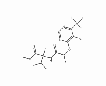 COC(=O)C(C)(NC(=O)C(C)Oc1ncnc(C(F)(F)F)c1Cl)C(C)C